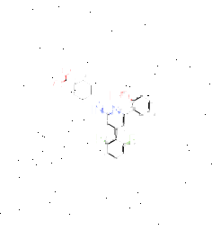 O=C(O)[C@H]1CC[C@H](CNc2cc(-c3c(F)cccc3F)cc(-c3ccccc3O)n2)CC1